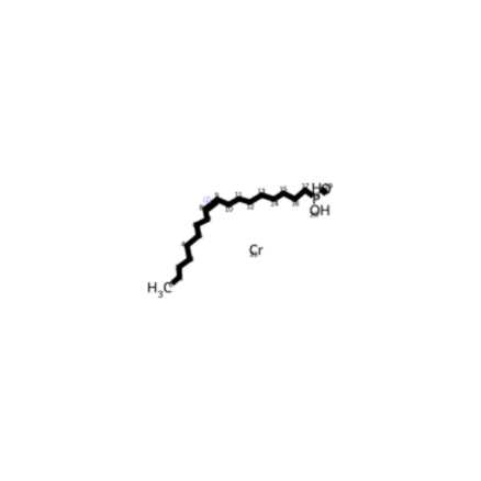 CCCCCCCC/C=C\CCCCCCCC[PH](=O)O.[Cr]